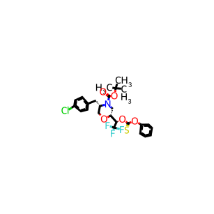 CC(C)(C)OC(=O)N1C[C@H]([C@H](OC(=S)Oc2ccccc2)C(F)(F)F)OC[C@@H]1Cc1ccc(Cl)cc1